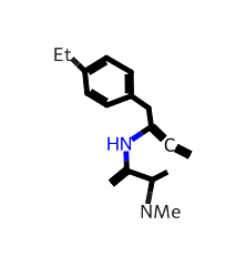 C=C=C(Cc1ccc(CC)cc1)NC(=C)C(C)NC